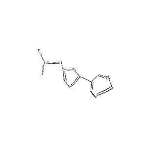 [CH2]/C(F)=C\c1ccc(-c2cccnc2)s1